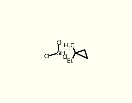 CCC1(C)CC1.Cl[SiH](Cl)Cl